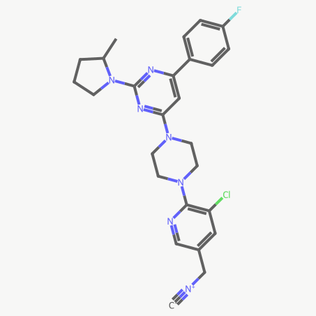 [C-]#[N+]Cc1cnc(N2CCN(c3cc(-c4ccc(F)cc4)nc(N4CCCC4C)n3)CC2)c(Cl)c1